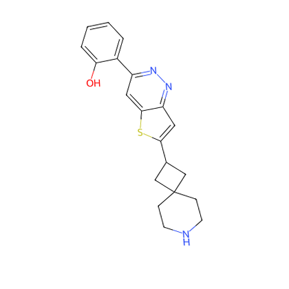 Oc1ccccc1-c1cc2sc(C3CC4(CCNCC4)C3)cc2nn1